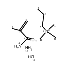 C=C(C)C(N)=O.CCC[N+](C)(C)C.Cl.N